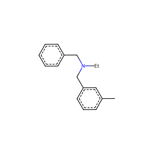 CCN(Cc1ccccc1)Cc1cccc(C)c1